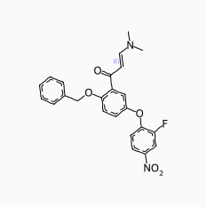 CN(C)/C=C/C(=O)c1cc(Oc2ccc([N+](=O)[O-])cc2F)ccc1OCc1ccccc1